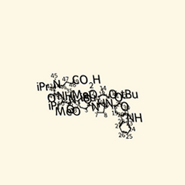 CCC(C)C(C(CC(=O)N1CCC[C@H]1C(OC)C(C)C(=O)NC(Cc1c[nH]c2ccccc12)C(=O)OC(C)(C)C)OC)N(C)C(=O)C(NC(=O)C(C(C)C)N(C)CCCC(=O)O)C(C)C